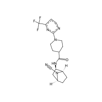 N#CN1[C@H]2CC[C@@H]1[C@H](NC(=O)C1CCN(c3nccc(C(F)(F)F)n3)CC1)C2